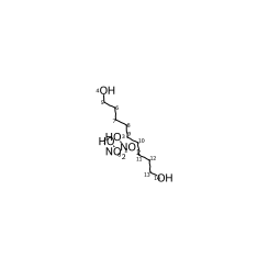 O=[N+]([O-])O.O=[N+]([O-])O.OCCCCCCCCCO